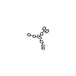 c1ccc(-c2ccc(-c3cc(-c4ccc(-c5cc6ccccc6o5)cc4)nc(-c4ccc(-n5c6ccccc6c6ccccc65)cc4)n3)cc2)cc1